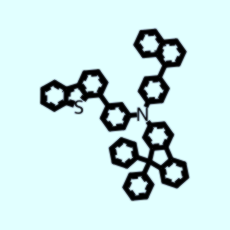 c1ccc(C2(c3ccccc3)c3ccccc3-c3ccc(N(c4ccc(-c5cccc6ccccc56)cc4)c4cccc(-c5cccc6c5sc5ccccc56)c4)cc32)cc1